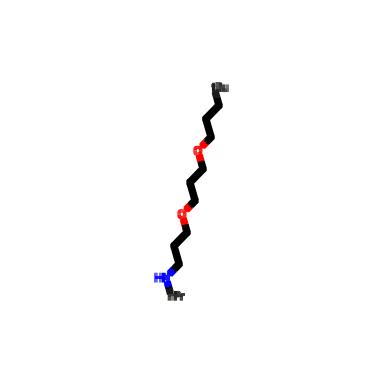 CCCNCCCOCCCOCCCC(C)(C)C